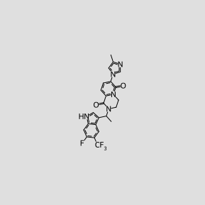 Cc1cn(-c2ccc3n(c2=O)CCN(C(C)c2c[nH]c4cc(F)c(C(F)(F)F)cc24)C3=O)cn1